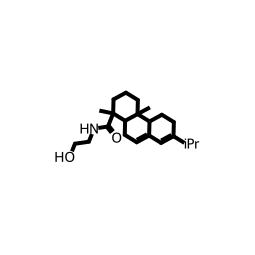 CC(C)C1=CC2=CCC3C(C)(C(=O)NCCO)CCCC3(C)C2CC1